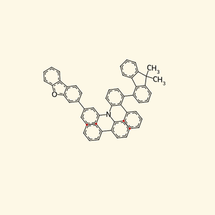 CC1(C)c2ccccc2-c2c(-c3cccc(N(c4cccc(-c5ccc6c(c5)oc5ccccc56)c4)c4ccccc4-c4ccccc4)c3-c3ccccc3)cccc21